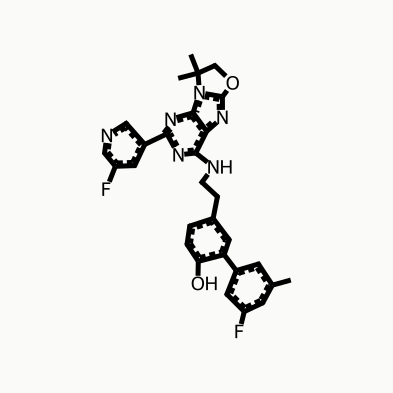 Cc1cc(F)cc(-c2cc(CCNc3nc(-c4cncc(F)c4)nc4c3nc3n4C(C)(C)CO3)ccc2O)c1